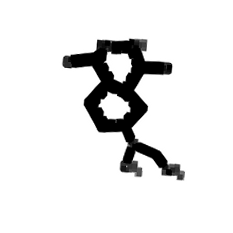 CN(CN)c1ccc2c(=O)[nH][nH]c(=O)c2c1